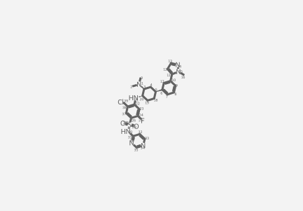 CN(C)[C@H]1C[C@@H](c2cccc(-c3ccnn3C)c2)CC[C@@H]1Nc1cc(F)c(S(=O)(=O)Nc2ccncn2)cc1Cl